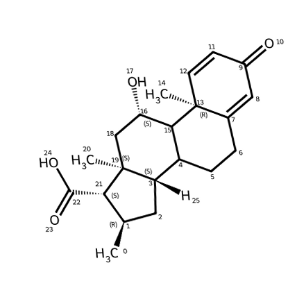 C[C@@H]1C[C@H]2C3CCC4=CC(=O)C=C[C@]4(C)C3[C@@H](O)C[C@]2(C)[C@H]1C(=O)O